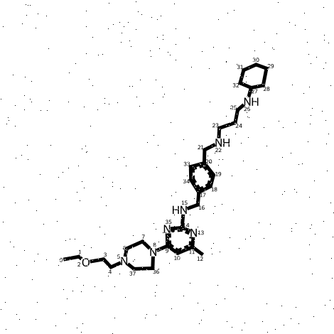 CCOCCN1CCN(c2cc(C)nc(NCc3ccc(CNCCCNC4CCCCC4)cc3)n2)CC1